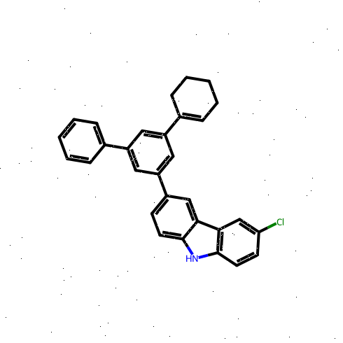 Clc1ccc2[nH]c3ccc(-c4cc(C5=CCCCC5)cc(-c5ccccc5)c4)cc3c2c1